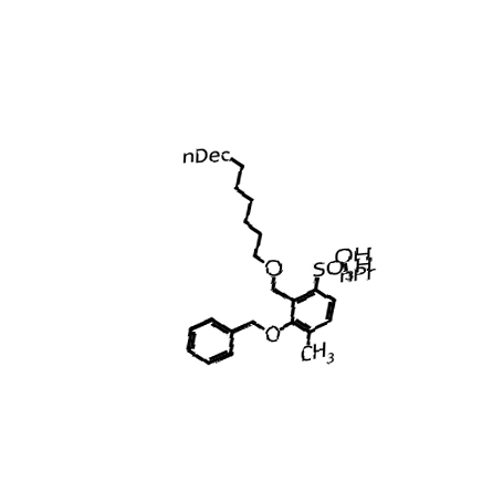 CCCCCCCCCCCCCCCCOCc1c(S(=O)(=O)O)ccc(C)c1OCc1ccccc1.CCCO